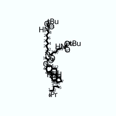 CC(C)CCCC(C)[C@H]1CC[C@H]2[C@@H]3CC=C4C[C@@H](OC(=O)CN(CCCCCCCCNC(=O)OC(C)(C)C)C(=O)CCCCNC(=O)OC(C)(C)C)CC[C@]4(C)[C@H]3CC[C@]12C